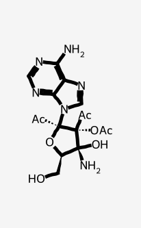 CC(=O)O[C@]1(C(C)=O)[C@](N)(O)[C@@H](CO)O[C@@]1(C(C)=O)n1cnc2c(N)ncnc21